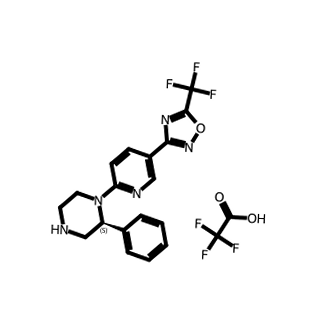 FC(F)(F)c1nc(-c2ccc(N3CCNC[C@@H]3c3ccccc3)nc2)no1.O=C(O)C(F)(F)F